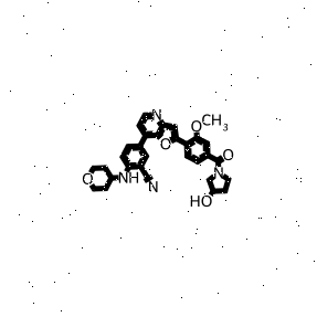 COc1cc(C(=O)N2CCC(O)C2)ccc1-c1cc2nccc(-c3ccc(NC4CCOCC4)c(C#N)c3)c2o1